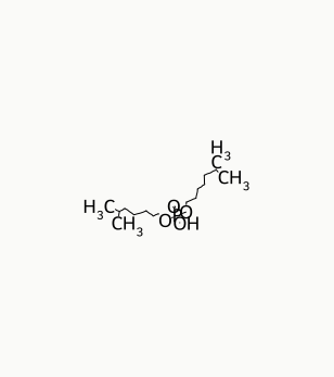 CC(C)CCCCCOP(=O)(O)OCCCCCC(C)C